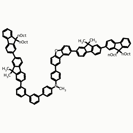 CCCCCCCCC1(CCCCCCCC)c2ccccc2-c2ccc(-c3ccc4c(c3)C(C)(C)c3cc(-c5cccc(-c6cccc(-c7ccc(N(C)c8ccc(-c9ccc%10oc%11ccc(-c%12ccc%13c(c%12)C(C)(C)c%12cc(-c%14ccc%15c(c%14)C(CCCCCCCC)(CCCCCCCC)c%14ccccc%14-%15)ccc%12-%13)cc%11c%10c9)cc8)cc7)c6)c5)ccc3-4)cc21